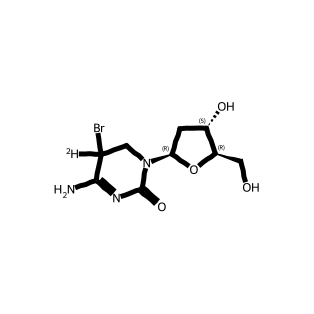 [2H]C1(Br)CN([C@H]2C[C@H](O)[C@@H](CO)O2)C(=O)N=C1N